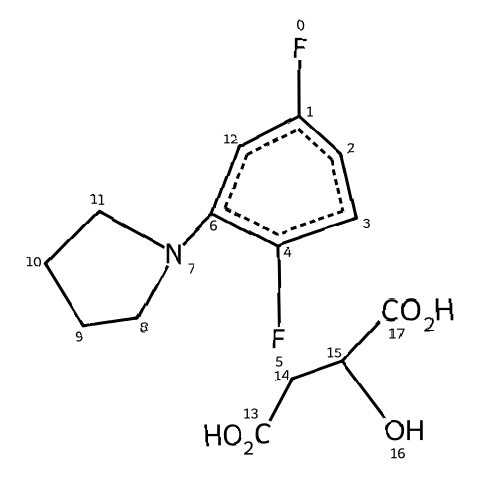 Fc1ccc(F)c(N2CCCC2)c1.O=C(O)CC(O)C(=O)O